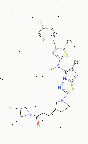 CCc1nc2sc(N3CCC(CCC(=O)N4CC(F)C4)C3)nn2c1N(C)c1nc(-c2ccc(F)cc2)c(C#N)s1